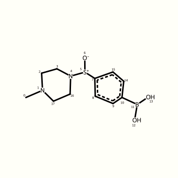 CN1CCN([S+]([O-])c2ccc(B(O)O)cc2)CC1